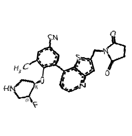 Cc1cc(C#N)cc(-c2ccnc3cc(CN4C(=O)CCC4=O)sc23)c1O[C@@H]1CNC[C@@H]1F